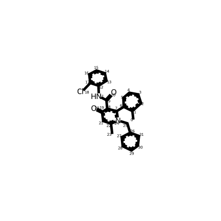 Cc1ccccc1-c1c(C(=O)Nc2ccccc2Cl)c(=O)cc(C)n1Cc1ccccc1